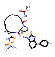 CC(C)n1c(O[C@@H]2C[C@H]3C(=O)N[C@]4(C(=O)NS(=O)(=O)N(C)C)C[C@H]4/C=C\CCCCC[C@H](NC(=O)OC(C)(C)C)C(=O)N3C2)nc2c(-c3ccc(F)cc3)cccc21